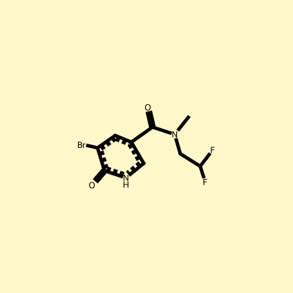 CN(CC(F)F)C(=O)c1c[nH]c(=O)c(Br)c1